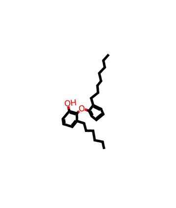 CCCCCCCCc1ccccc1Oc1c(O)cccc1CCCCCC